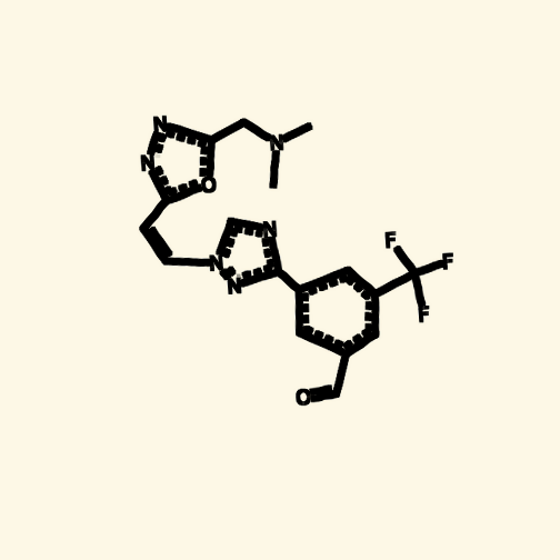 CN(C)Cc1nnc(/C=C\n2cnc(-c3cc(C=O)cc(C(F)(F)F)c3)n2)o1